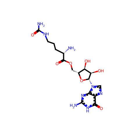 NC(=O)NCCC[C@H](N)C(=O)OC[C@H]1O[C@@H](n2cnc3c(=O)[nH]c(N)nc32)[C@H](O)[C@@H]1O